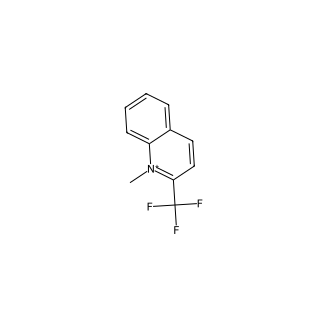 C[n+]1c(C(F)(F)F)ccc2ccccc21